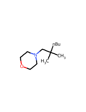 CCCCC(C)(C)CN1CCOCC1